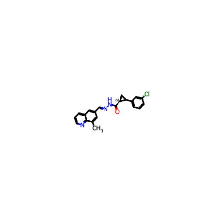 Cc1cc(C=NNC(=O)[C@H]2CC2c2cccc(Cl)c2)cc2cccnc12